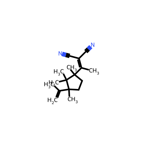 C=C(C)C1(C)CCC(C)(C(C)=C(C#N)C#N)C1(C)C